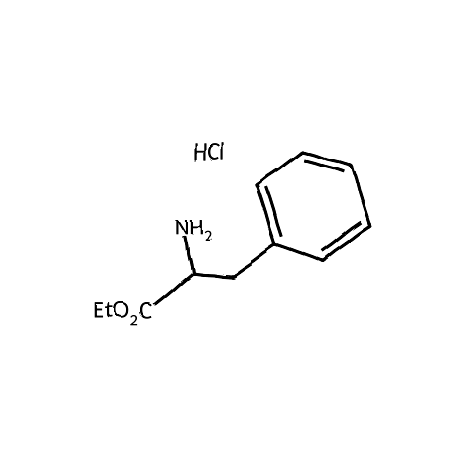 CCOC(=O)C(N)Cc1ccccc1.Cl